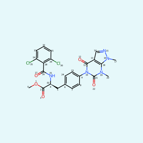 COC(=O)[C@H](Cc1ccc(-n2c(=O)c3cnn(C)c3n(C)c2=O)cc1)NC(=O)c1c(Cl)cccc1Cl